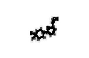 C#Cc1cccc(N2CCC(F)(F)CC2)n1